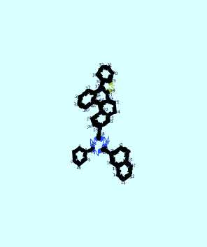 c1ccc(-c2nc(-c3ccc4ccccc4c3)nc(-c3ccc4c(ccc5c6sc7ccccc7c6c6ccccc6c45)c3)n2)cc1